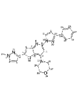 Cn1ccc(-c2cc3nc(-n4ccc(-c5ccccc5)n4)cc(N4CCOCC4)c3o2)n1